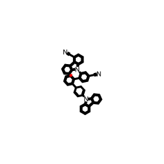 N#Cc1ccc(-c2ccccc2C2C=CC(n3c4ccccc4c4ccccc43)=CC2)c(-n2c3ccccc3c3c(C#N)cccc32)c1